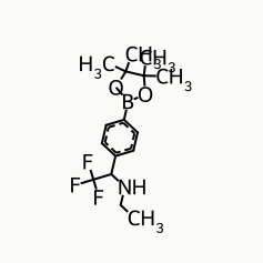 CCNC(c1ccc(B2OC(C)(C)C(C)(C)O2)cc1)C(F)(F)F